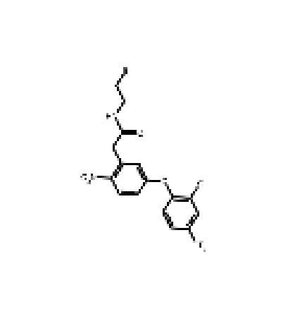 O=C(Cc1cc(Oc2ccc(C(F)(F)F)cc2Cl)ccc1[N+](=O)[O-])NCCBr